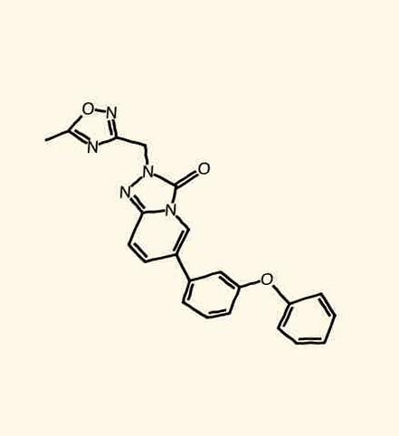 Cc1nc(Cn2nc3ccc(-c4cccc(Oc5ccccc5)c4)cn3c2=O)no1